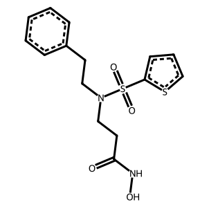 O=C(CCN(CCc1ccccc1)S(=O)(=O)c1cccs1)NO